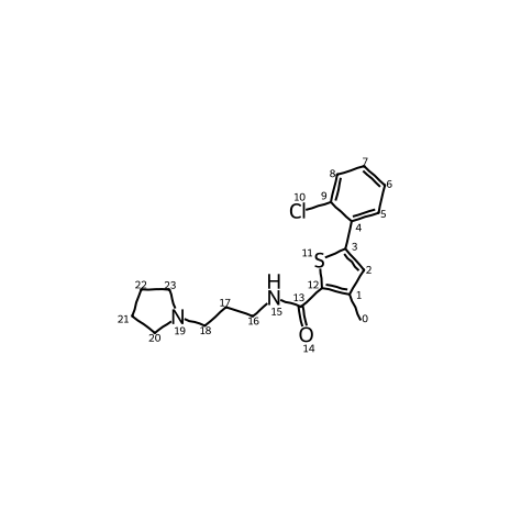 Cc1cc(-c2ccccc2Cl)sc1C(=O)NCCCN1CCCC1